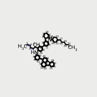 C=C(/C=C\C=C/C)c1cc(-c2ccc3c(c2)C2C=CC=C[C@H]2N3C2=CC=C(CCCCCC)CC2)ccc1Nc1cccc(-c2ccc3c4c(cccc24)-c2ccccc2-3)c1